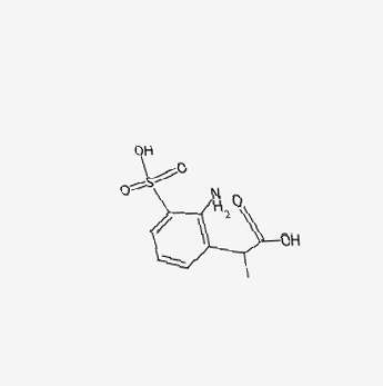 CC(C(=O)O)c1cccc(S(=O)(=O)O)c1N